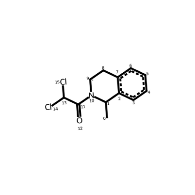 CC1c2ccccc2C[C]N1C(=O)C(Cl)Cl